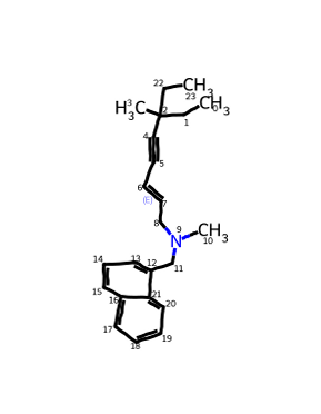 CCC(C)(C#C/C=C/CN(C)Cc1cccc2ccccc12)CC